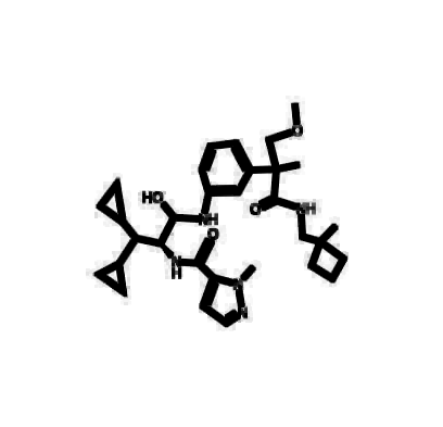 COCC(C)(C(=O)NCC1(C)CCC1)c1cccc(NC(O)[C@@H](NC(=O)c2ccnn2C)C(C2CC2)C2CC2)c1